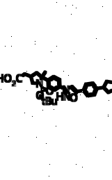 CC(C)(C)OC(=O)N1CC(CC(=O)O)CC1(C)c1ccc(N2C=C(c3ccc(C4CCCC4)cc3)ON2)cc1